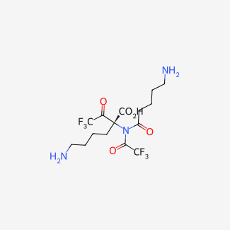 NCCCCC(=O)N(C(=O)C(F)(F)F)[C@@](CCCCN)(C(=O)O)C(=O)C(F)(F)F